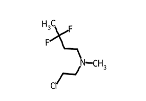 CN(CCCl)CCC(C)(F)F